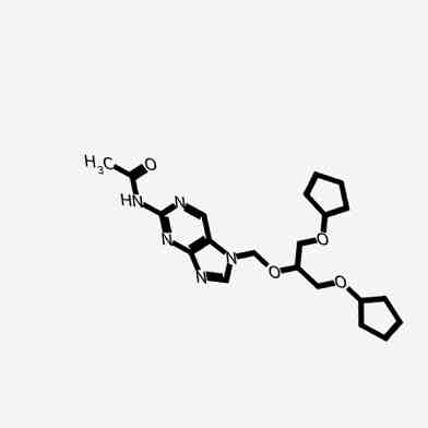 CC(=O)Nc1ncc2c(ncn2COC(COC2CCCC2)COC2CCCC2)n1